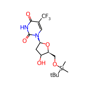 CC(C)(C)[Si](C)(C)OC[C@@H]1O[C@H](n2cc(C(F)(F)F)c(=O)[nH]c2=O)CC1O